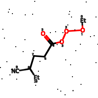 CCOOOC(=O)CCC(C#N)CC